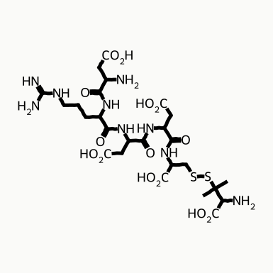 CC(C)(SSCC(NC(=O)C(CC(=O)O)NC(=O)C(CC(=O)O)NC(=O)C(CCCNC(=N)N)NC(=O)C(N)CC(=O)O)C(=O)O)C(N)C(=O)O